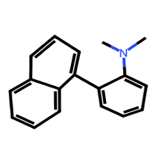 CN(C)c1ccccc1-c1cccc2ccccc12